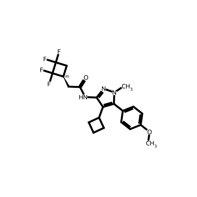 COc1ccc(-c2c(C3CCC3)c(NC(=O)C[C@@H]3CC(F)(F)C3(F)F)nn2C)cc1